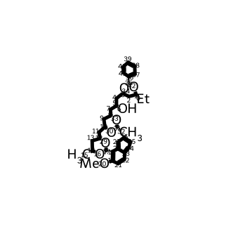 CCC1CC(CC(O)CC2CC(CC3CC(C)O[C@@H](c4c(OC)ccc5ccccc45)O3)O[C@@H](C)O2)O[C@@H](c2ccccc2)O1